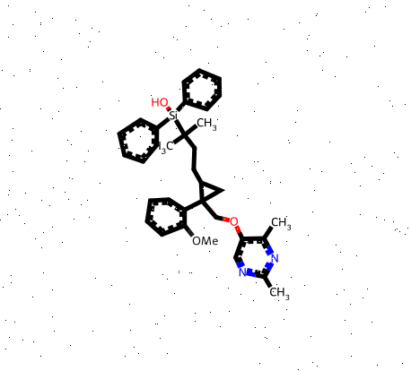 COc1ccccc1C1(COc2cnc(C)nc2C)CC1CCC(C)(C)[Si](O)(c1ccccc1)c1ccccc1